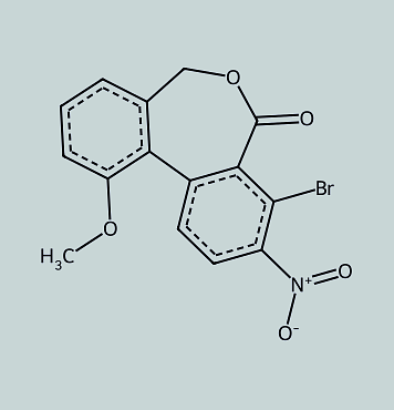 COc1cccc2c1-c1ccc([N+](=O)[O-])c(Br)c1C(=O)OC2